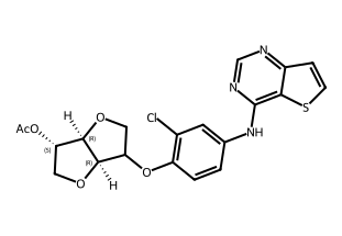 CC(=O)O[C@H]1CO[C@@H]2C(Oc3ccc(Nc4ncnc5ccsc45)cc3Cl)CO[C@H]12